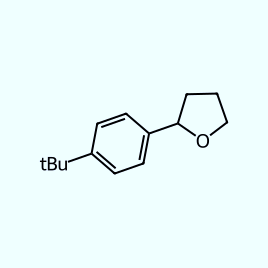 CC(C)(C)c1ccc(C2CCCO2)cc1